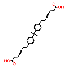 CC(C)(c1ccc(CCC#CCCC(=O)O)cc1)c1ccc(CCC#CCCC(=O)O)cc1